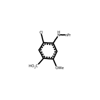 CCCNc1cc(OC)c(C(=O)O)cc1Cl